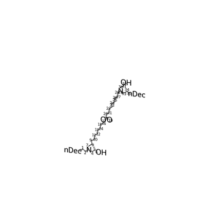 CCCCCCCCCCCCN(CCO)CCCCCCCCCCOC(=O)CCCCCCCCCN(CCO)CCCCCCCCCCCC